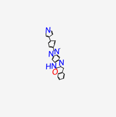 Cn1c(-c2ccc(-c3ccncc3)cc2)nc2cc3[nH]c(=O)c(Cc4ccccc4)nc3cc21